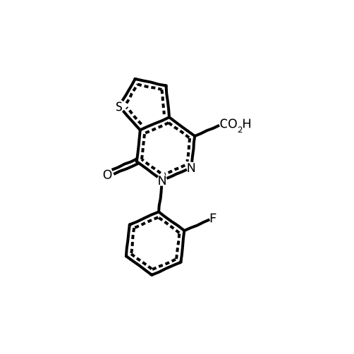 O=C(O)c1nn(-c2ccccc2F)c(=O)c2sccc12